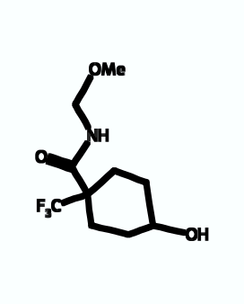 COCNC(=O)C1(C(F)(F)F)CCC(O)CC1